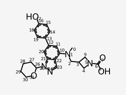 CN(CC1CN(C(=O)O)C1)c1cc(-c2ccc(O)cc2)cc2c1cnn2C1CCCCO1